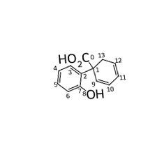 O=C(O)C1(c2ccccc2O)C=CC=CC1